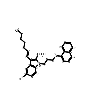 O=C(O)c1c(C=CCCCCCl)c2cc(F)ccc2n1CCCOc1cccc2ccccc12